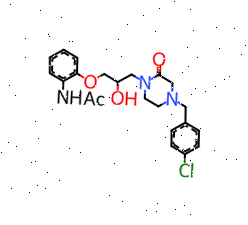 CC(=O)Nc1ccccc1OCC(O)CN1CCN(Cc2ccc(Cl)cc2)CC1=O